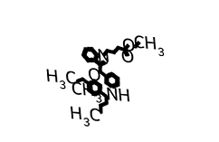 CCCCC(Nc1cccc(C(=O)c2cn(CCCC(=O)OCC)c3ccccc23)c1)c1ccc(CC(C)C)cc1